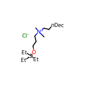 CCCCCCCCCCCC[N+](C)(C)CCCO[Si](CC)(CC)CC.[Cl-]